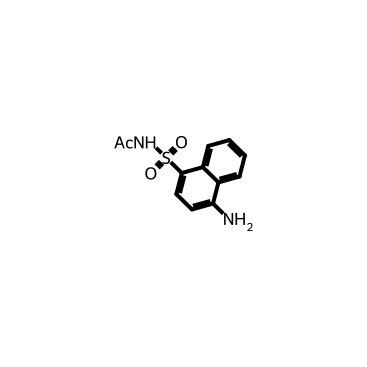 CC(=O)NS(=O)(=O)c1ccc(N)c2ccccc12